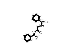 C[C@@H](NCC(=O)N[C@H](C)c1ccccc1)c1ccccc1